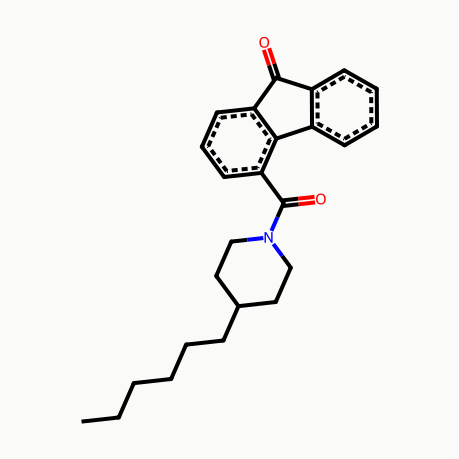 CCCCCCC1CCN(C(=O)c2cccc3c2-c2ccccc2C3=O)CC1